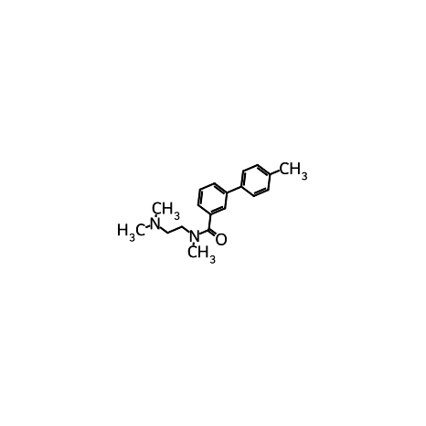 Cc1ccc(-c2cccc(C(=O)N(C)CCN(C)C)c2)cc1